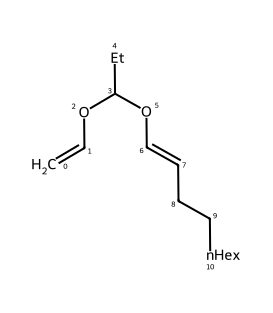 C=COC(CC)OC=CCCCCCCCC